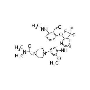 CNCc1cccc(Oc2nc(Nc3ccc(N4CCN(CC(=O)N(C)C)CC4)cc3OC)ncc2C(F)(F)F)c1C=O